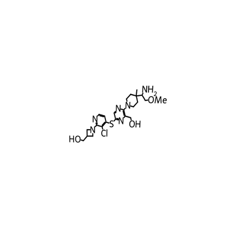 COCC(N)C1(C)CCN(c2ncc(Sc3ccnc(N4CC(CO)C4)c3Cl)nc2CO)CC1